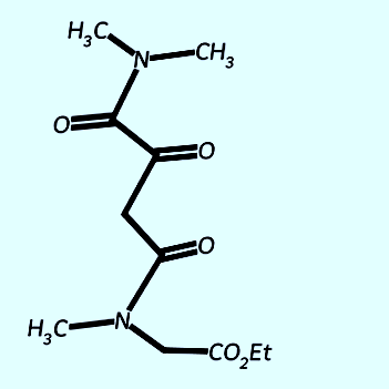 CCOC(=O)CN(C)C(=O)CC(=O)C(=O)N(C)C